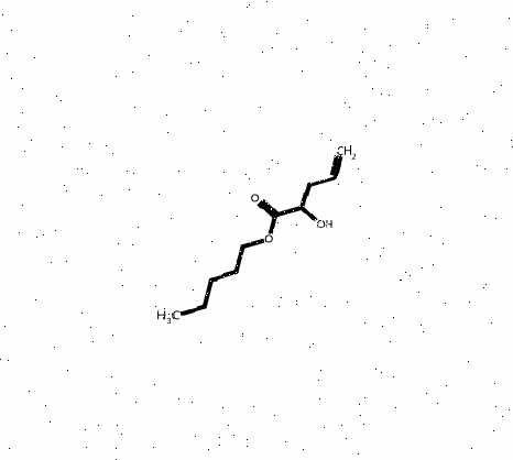 C=CCC(O)C(=O)OCCCCC